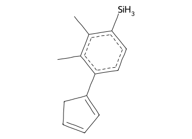 Cc1c([SiH3])ccc(C2=CC=CC2)c1C